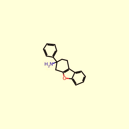 NC1(c2ccccc2)CCc2c(oc3ccccc23)C1